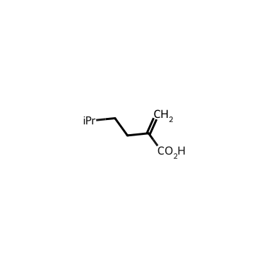 C=C(CCC(C)C)C(=O)O